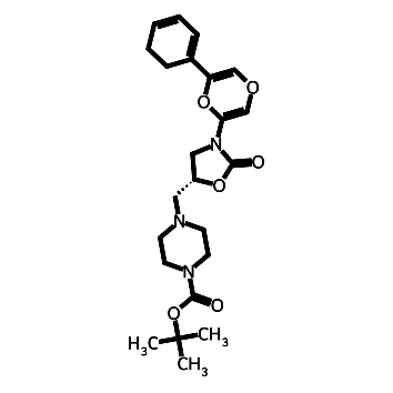 CC(C)(C)OC(=O)N1CCN(C[C@@H]2CN(C3=COC=C(C4=CC=CCC4)O3)C(=O)O2)CC1